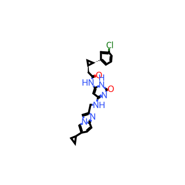 O=C(C[C@H]1C[C@@H]1c1cccc(Cl)c1)Nc1cc(NCc2cn3cc(C4CC4)ccc3n2)nc(=O)[nH]1